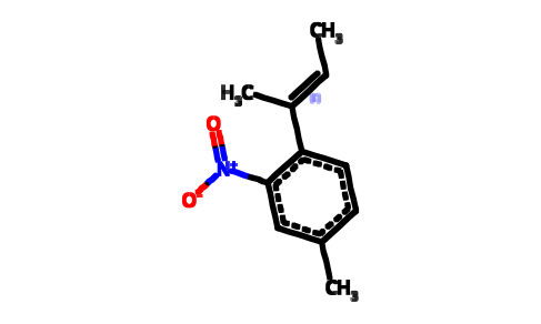 C/C=C(\C)c1ccc(C)cc1[N+](=O)[O-]